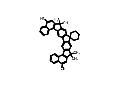 CC1(C)c2cc3c(cc2-c2c1cc(C#N)c1ccccc21)-c1cc2c(cc1C31CCCCC1)C(C)(C)c1cc(C#N)c3ccccc3c1-2